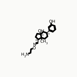 C[C@]12CC[C@H](c3cccc(O)c3)C[C@@]1(O)CC[C@@H]2C=NOCCN